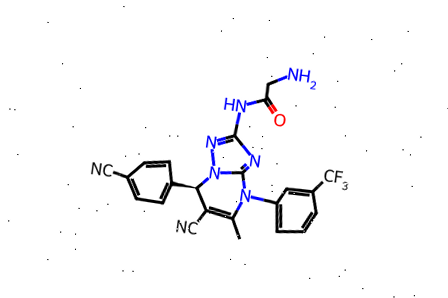 CC1=C(C#N)[C@@H](c2ccc(C#N)cc2)n2nc(NC(=O)CN)nc2N1c1cccc(C(F)(F)F)c1